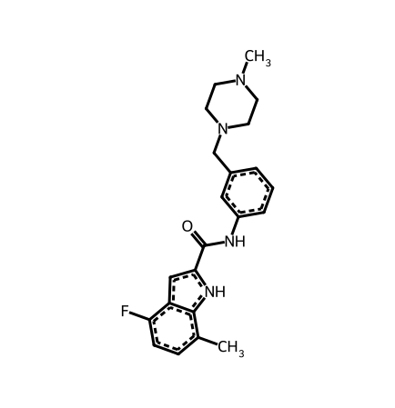 Cc1ccc(F)c2cc(C(=O)Nc3cccc(CN4CCN(C)CC4)c3)[nH]c12